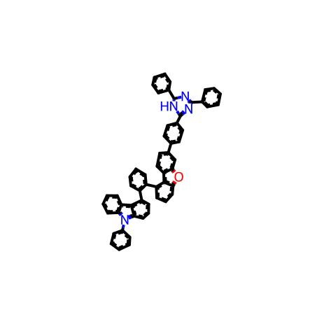 c1ccc(C2=NC(c3ccccc3)NC(c3ccc(-c4ccc5c(c4)oc4cccc(-c6ccccc6-c6cccc7c6c6ccccc6n7-c6ccccc6)c45)cc3)=N2)cc1